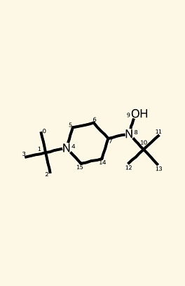 CC(C)(C)N1CCC(N(O)C(C)(C)C)CC1